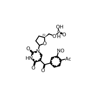 CC(=O)c1ccc(C(=O)c2cn(C3CC[C@@H](CO[PH](=O)O)O3)c(=O)[nH]c2=O)cc1N=O